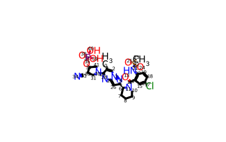 Cc1cn2nc([C@@H]3CCCCN3C(=O)c3cc(Cl)ccc3NS(C)(=O)=O)cc2nc1N1C[C@H](C#N)[C@H](OP(=O)(O)O)C1